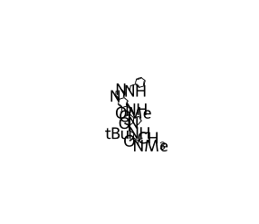 CNC(C)C(=O)NC(C(=O)N1CCCC1C(=O)Nc1cc2c(NCc3ccccc3)ncnc2cc1OC)C(C)(C)C